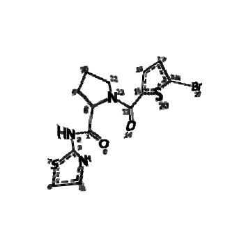 O=C(Nc1nccs1)C1CCCN1C(=O)c1ccc(Br)s1